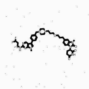 C[C@H](CC(F)F)Nc1ncc2c(-c3ccc(CN4CCN(CCCOCCCc5ccc6c(c5)n(C)c(=O)n6C5CCC(=O)NC5=O)CC4)cc3)cn(C)c2n1